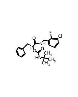 CC(C)(C)NC(=O)O[C@@H](Cc1ccccc1)C(=O)NCc1cccc(Cl)c1F